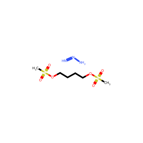 CS(=O)(=O)OCCCCOS(C)(=O)=O.N=NN